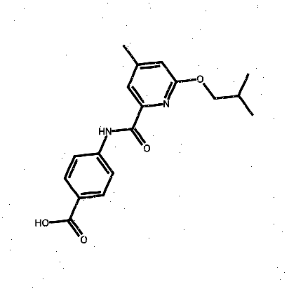 Cc1cc(OCC(C)C)nc(C(=O)Nc2ccc(C(=O)O)cc2)c1